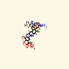 CC[C@@]1(O)C(=O)OCc2c1cc1n(c2=O)Cc2cc3c(CC(C)(C)N(C)C)c(OCC(N)=O)c(F)cc3nc2-1